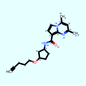 C#CCCCOC1CCC(NC(=O)c2ccn3c(C)cc(C)nc23)C1